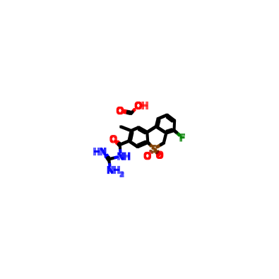 Cc1cc2c(cc1C(=O)NC(=N)N)S(=O)(=O)Cc1c(F)cccc1-2.O=CO